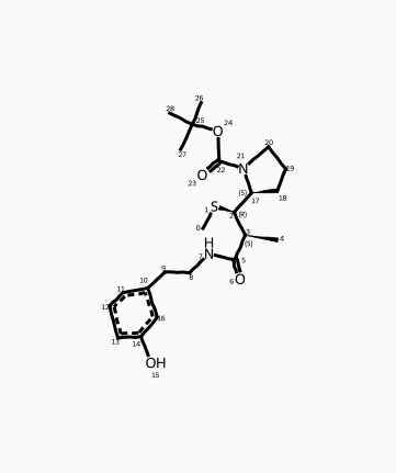 CS[C@H]([C@@H](C)C(=O)NCCc1cccc(O)c1)[C@@H]1CCCN1C(=O)OC(C)(C)C